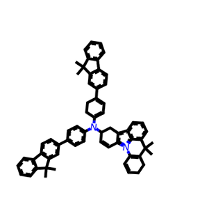 CC1(C)C2=C(C=CCC2)n2c3c(c4cccc1c42)CC(N(C1=CC=C(c2ccc4c(c2)C(C)(C)c2ccccc2-4)CC1)c1ccc(-c2ccc4c(c2)C(C)(C)c2ccccc2-4)cc1)C=C3